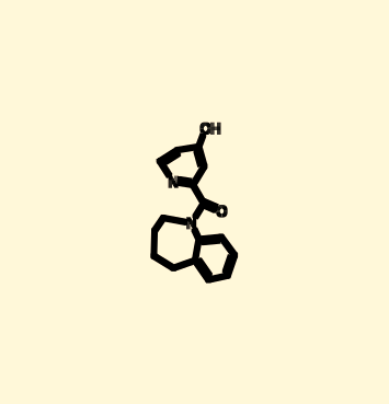 O=C(c1cc(O)ccn1)N1CCCCc2ccccc21